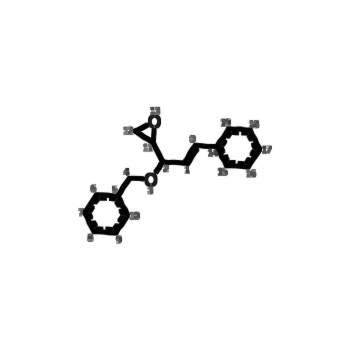 C(=CC(OCc1ccccc1)C1CO1)c1ccccc1